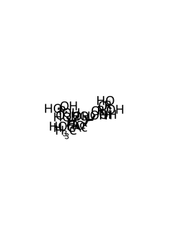 CC(C)=O.CC(C)=O.O=P(O)(O)O.O=[PH](O)O[PH](=O)O.OCC(O)CO.OCC(O)CO